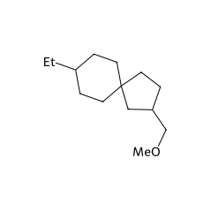 CCC1CCC2(CC1)CCC(COC)C2